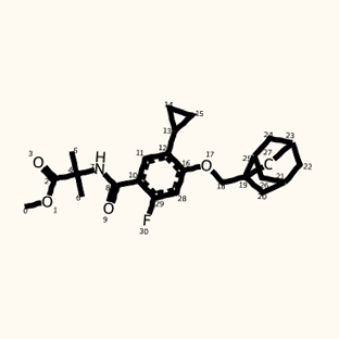 COC(=O)C(C)(C)NC(=O)c1cc(C2CC2)c(OCC23CC4CC(CC2C4)C3)cc1F